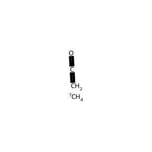 C=C=O.[7CH4]